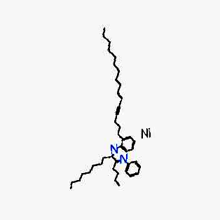 CCCCCCCCCCCC#CCCCc1ccccc1N=C(CCCCCCCC)C(CCCC)=Nc1ccccc1.[Ni]